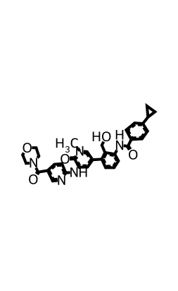 Cn1cc(-c2cccc(NC(=O)c3ccc(C4CC4)cc3)c2CO)cc(Nc2ccc(C(=O)N3CCOCC3)cn2)c1=O